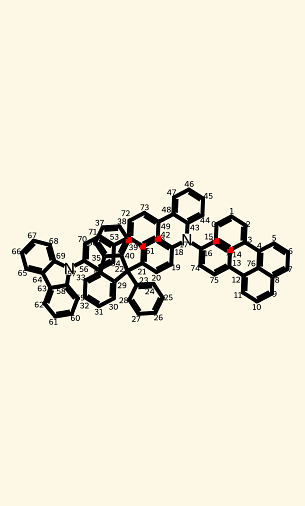 c1ccc(-c2cccc3cccc(-c4ccc(N(c5ccc(C6(c7ccccc7)c7ccccc7-c7ccccc76)cc5)c5ccccc5-c5ccc(-c6ccc(-n7c8ccccc8c8ccccc87)cc6)cc5)cc4)c23)cc1